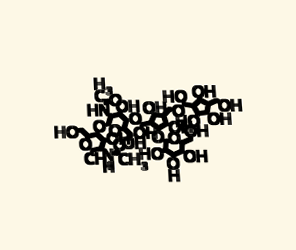 CC(=O)NC1C(O)[C@H](O[C@H](O)C2C(O)C(CO[C@@H](O)C3C(O)C(CO)[C@@H](O)C3O)[C@@H](O)C2O[C@H]2OC(CO)[C@@H](O)C(O)C2O)C(CO)O[C@H]1O[C@@H]1C(CO)O[C@@H](C)C(NC(C)=O)C1O